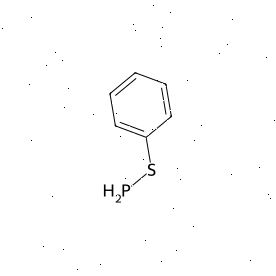 PSc1ccccc1